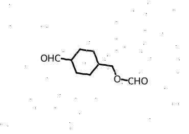 O=COCC1CCC(C=O)CC1